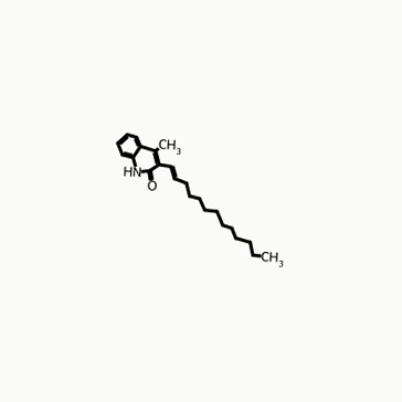 CCCCCCCCCCCC=Cc1c(C)c2ccccc2[nH]c1=O